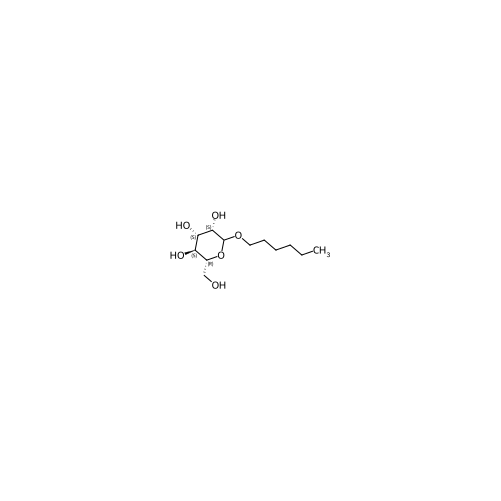 CCCCCCOC1O[C@H](CO)[C@@H](O)[C@H](O)[C@@H]1O